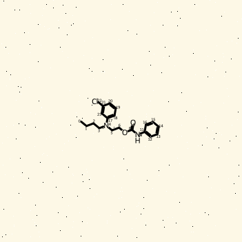 CCCCN(CCOC(=O)Nc1ccccc1)c1cccc(Cl)c1